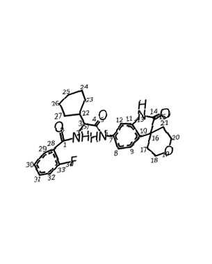 O=C(N[C@H](C(=O)Nc1ccc2c(c1)NC(=O)C21CCOCC1)C1CCCCC1)c1ccccc1F